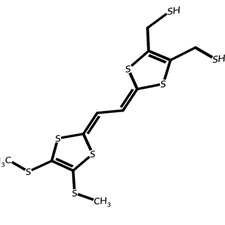 CSC1=C(SC)SC(=CC=C2SC(CS)=C(CS)S2)S1